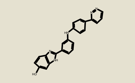 Oc1ccc2nc(-c3cccc(Nc4ccc(-c5cccnn5)cc4)c3)[nH]c2c1